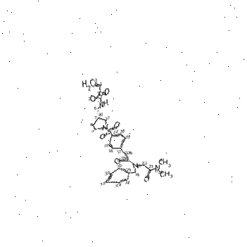 C=CS(=O)(=O)NC[C@H]1CCN(S(=O)(=O)c2ccc(CC(=O)N(CC(=O)N(C)C)Cc3ccccc3)cc2)C1